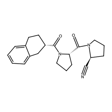 N#C[C@@H]1CCCN1C(=O)[C@@H]1CCCN1C(=O)[C@H]1CCc2ccccc2C1